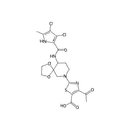 CC(=O)c1nc(N2CCC(NC(=O)c3[nH]c(C)c(Cl)c3Cl)C3(C2)OCCO3)sc1C(=O)O